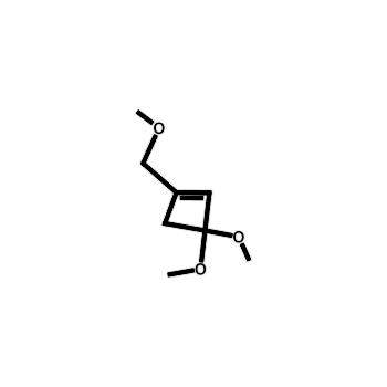 COCC1=CC(OC)(OC)C1